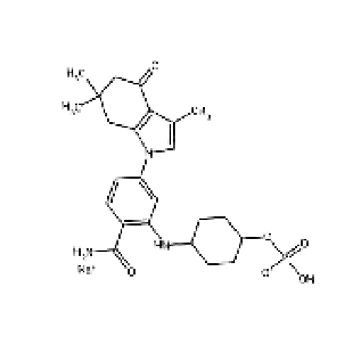 Cc1cn(-c2ccc(C(N)=O)c(NC3CCC(OP(=O)([O-])O)CC3)c2)c2c1C(=O)CC(C)(C)C2.[Na+]